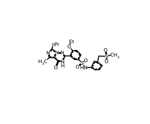 CCCc1nc(C)c2c(=O)[nH]c(-c3cc(S(=O)(=O)Nc4cccc(CS(C)(=O)=O)c4)ccc3OCC)nn12